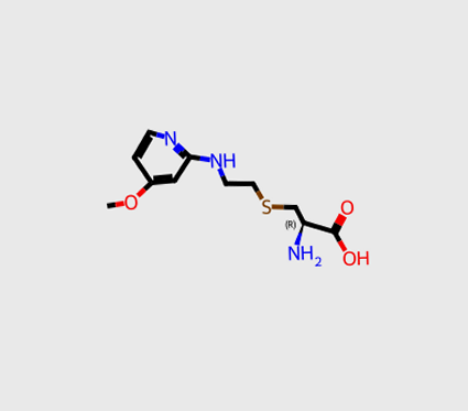 COc1ccnc(NCCSC[C@H](N)C(=O)O)c1